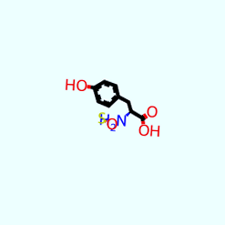 N[C@@H](Cc1ccc(O)cc1)C(=O)O.O=S